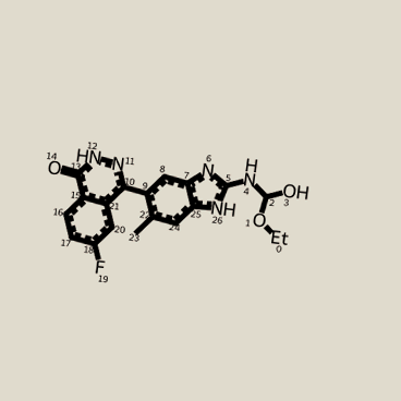 CCOC(O)Nc1nc2cc(-c3n[nH]c(=O)c4ccc(F)cc34)c(C)cc2[nH]1